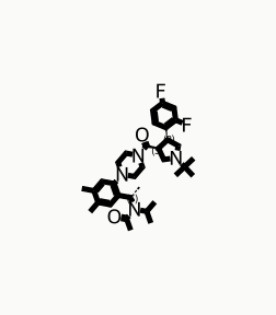 CC(=O)N(C(C)C)[C@@H](C)c1cc(C)c(C)cc1N1CCN(C(=O)[C@@H]2CN(C(C)(C)C)C[C@H]2c2ccc(F)cc2F)CC1